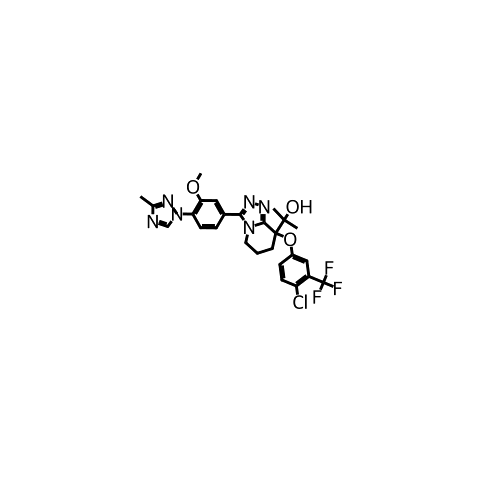 COc1cc(-c2nnc3n2CCCC3(Oc2ccc(Cl)c(C(F)(F)F)c2)C(C)(C)O)ccc1-n1cnc(C)n1